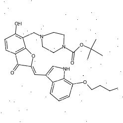 CCCCOc1cccc2c(/C=C3\Oc4c(ccc(O)c4CN4CCN(C(=O)OC(C)(C)C)CC4)C3=O)c[nH]c12